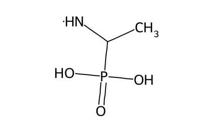 CC([NH])P(=O)(O)O